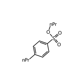 CCCOS(=O)(=O)c1ccc(CCC)cc1